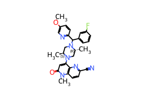 COc1ccc(C(c2cccc(F)c2)N2C[C@H](C)N(c3cc(=O)n(C)c4ccc(C#N)nc34)C[C@H]2C)nc1